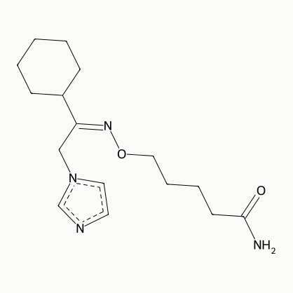 NC(=O)CCCCON=C(Cn1ccnc1)C1CCCCC1